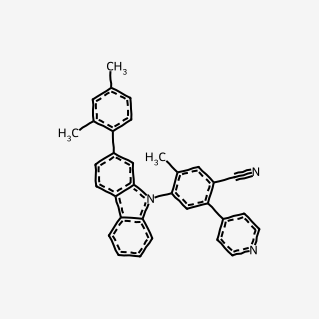 Cc1ccc(-c2ccc3c4ccccc4n(-c4cc(-c5ccncc5)c(C#N)cc4C)c3c2)c(C)c1